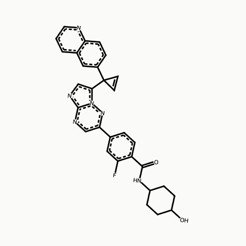 O=C(NC1CCC(O)CC1)c1ccc(-c2cnc3ncc(C4(c5ccc6ncccc6c5)C=C4)n3n2)cc1F